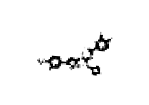 Cc1ccc(-c2cc(N/C(=N\C(=O)c3ccc(F)c(F)c3)NC3CCC3)[nH]n2)cc1F